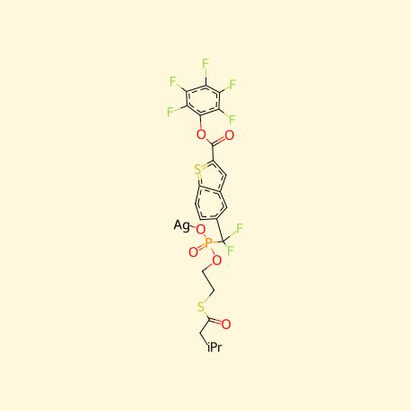 CC(C)CC(=O)SCCOP(=O)([O][Ag])C(F)(F)c1ccc2sc(C(=O)Oc3c(F)c(F)c(F)c(F)c3F)cc2c1